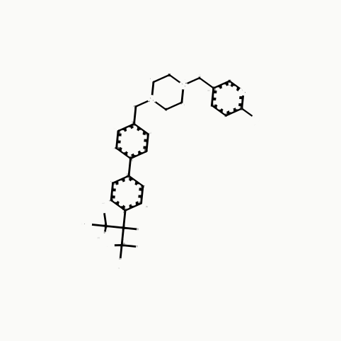 OC(c1ccc(-c2ccc(CN3CCN(Cc4ccc(Cl)nc4)CC3)cc2)cc1)(C(F)(F)F)C(F)(F)F